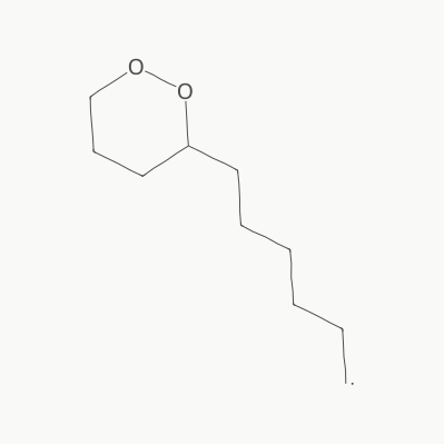 [CH2]CCCCCC1CCCOO1